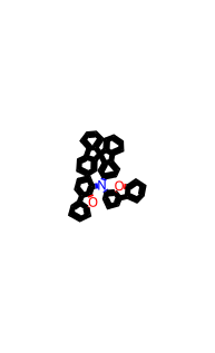 c1ccc2c(c1)-c1ccccc1C21c2ccccc2-c2ccc(N(c3cccc4c3oc3ccccc34)c3cccc4c3oc3ccccc34)cc21